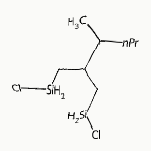 CCC[C](C)C(C[SiH2]Cl)C[SiH2]Cl